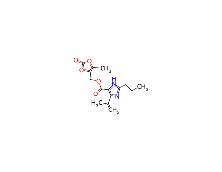 C=C(C)c1nc(CCC)[nH]c1C(=O)OCc1oc(=O)oc1C